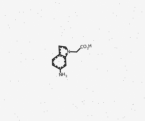 Nc1ccc2ccn(CC(=O)O)c2c1